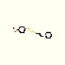 COc1ccc(SSSC/C=C/c2ccccc2)cc1